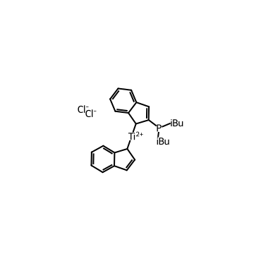 CCC(C)P(C1=Cc2ccccc2[CH]1[Ti+2][CH]1C=Cc2ccccc21)C(C)CC.[Cl-].[Cl-]